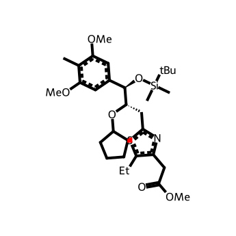 CCc1sc(C[C@H](OC2CCCC2)[C@H](O[Si](C)(C)C(C)(C)C)c2cc(OC)c(C)c(OC)c2)nc1CC(=O)OC